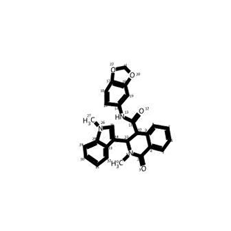 CN1C(=O)c2ccccc2C(C(=O)Nc2ccc3c(c2)OCO3)C1c1cn(C)c2ccccc12